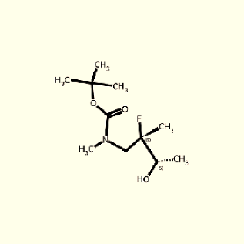 C[C@H](O)[C@@](C)(F)CN(C)C(=O)OC(C)(C)C